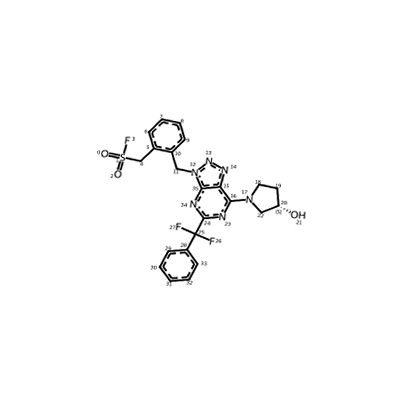 O=S(=O)(F)Cc1ccccc1Cn1nnc2c(N3CC[C@H](O)C3)nc(C(F)(F)c3ccccc3)nc21